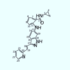 O=C(NC1CC1)c1ccccc1Nc1ccc2c(C=Cc3ccccn3)n[nH]c2c1